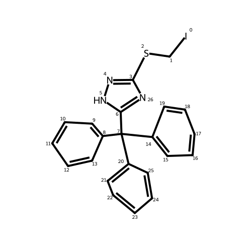 ICSc1n[nH]c(C(c2ccccc2)(c2ccccc2)c2ccccc2)n1